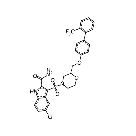 NC(=O)c1[nH]c2ccc(Cl)cc2c1S(=O)(=O)N1CCOC(COc2ccc(-c3ccccc3C(F)(F)F)cc2)C1